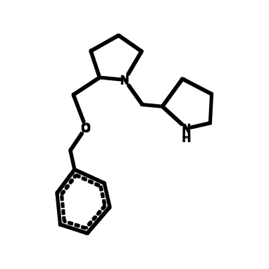 c1ccc(COCC2CCCN2CC2CCCN2)cc1